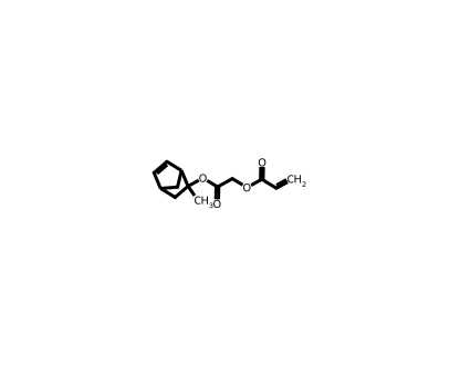 C=CC(=O)OCC(=O)OC1(C)CC2C=CC1C2